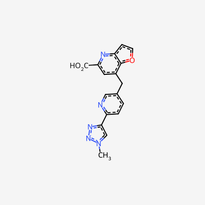 Cn1cc(-c2ccc(Cc3cc(C(=O)O)nc4ccoc34)cn2)nn1